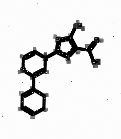 Cc1nc(N2C=COC(C3=CC=CCC3)=C2)sc1C(=O)O